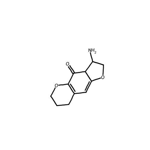 NC1COC2=CC3=C(OCCC3)C(=O)C21